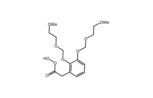 COCCOCOc1cccc(CC(=O)OO)c1OCOCCOC